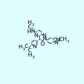 CCNc1ccc2nn(-c3ccc4nn(C)cc4c3)c(=O)c(-c3ccc(C(C)C)nc3)c2n1